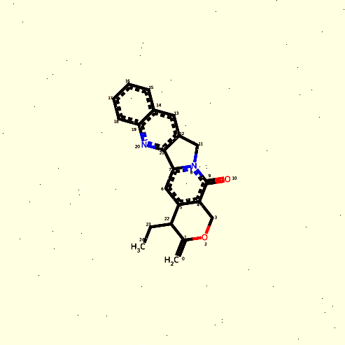 C=C1OCc2c(cc3n(c2=O)Cc2cc4ccccc4nc2-3)C1CC